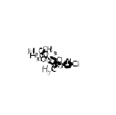 CCC1(C(=O)Oc2ccc(Cl)nc2)CCN(C(=O)OC(C)(C)C)CC1